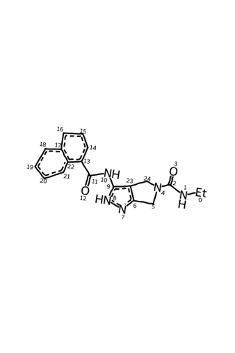 CCNC(=O)N1Cc2n[nH]c(NC(=O)c3cccc4ccccc34)c2C1